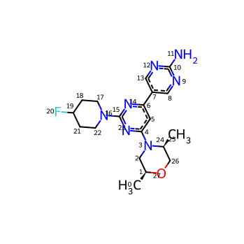 C[C@H]1CN(c2cc(-c3cnc(N)nc3)nc(N3CCC(F)CC3)n2)[C@@H](C)CO1